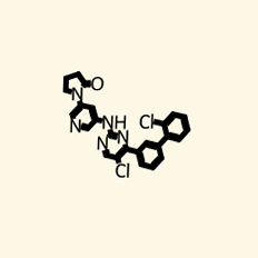 O=C1CCCN1c1cncc(Nc2ncc(Cl)c(-c3cccc(-c4ccccc4Cl)c3)n2)c1